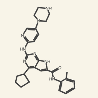 Cc1ccccc1NC(=O)c1cc2c(C3CCCC3)nc(Nc3ccc(N4CCNCC4)cn3)nc2[nH]1